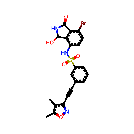 Cc1onc(C#Cc2cccc(S(=O)(=O)Nc3ccc(Br)c4c3C(O)NC4=O)c2)c1C